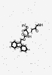 CC(C)OC(=O)[C@H](CCC(=O)C=N)NC(=O)OCC1c2ccccc2-c2ccccc21